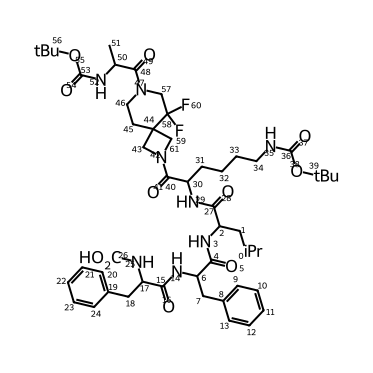 CC(C)CC(NC(=O)C(Cc1ccccc1)NC(=O)C(Cc1ccccc1)NC(=O)O)C(=O)NC(CCCCNC(=O)OC(C)(C)C)C(=O)N1CC2(CCN(C(=O)C(C)NC(=O)OC(C)(C)C)CC2(F)F)C1